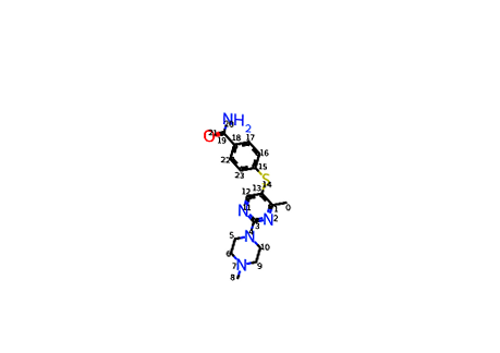 Cc1nc(N2CCN(C)CC2)ncc1Sc1ccc(C(N)=O)cc1